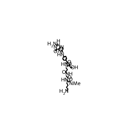 CNC(=O)[C@H](CCCCN)NC(=O)CNC(=O)CC[C@H](NC(=O)c1ccc(NCc2cnc3[nH]c(N)nc(=O)c3n2)cc1)C(=O)CO